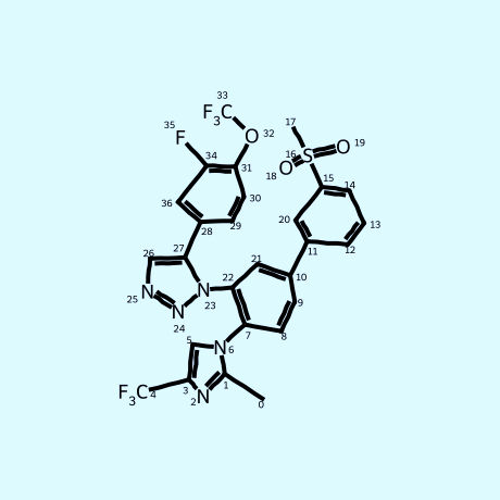 Cc1nc(C(F)(F)F)cn1-c1ccc(-c2cccc(S(C)(=O)=O)c2)cc1-n1nncc1-c1ccc(OC(F)(F)F)c(F)c1